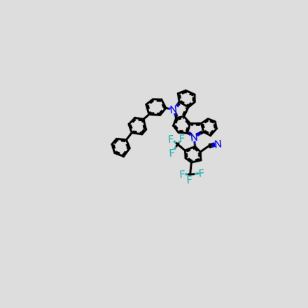 N#Cc1cc(C(F)(F)F)cc(C(F)(F)F)c1-n1c2ccccc2c2c3c4ccccc4n(-c4cccc(-c5ccc(-c6ccccc6)cc5)c4)c3ccc21